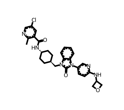 Cc1ncc(Cl)cc1C(=O)N[C@H]1CC[C@H](Cn2c(=O)n(-c3ccc(NC4COC4)nc3)c3ccccc32)CC1